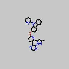 Cc1cc2c3nc(Oc4ccc5c6ccccc6n(-c6ccccn6)c5c4)ccc3c3nccnc3n2n1